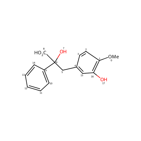 COc1ccc(CC(O)(C(=O)O)c2ccccc2)cc1O